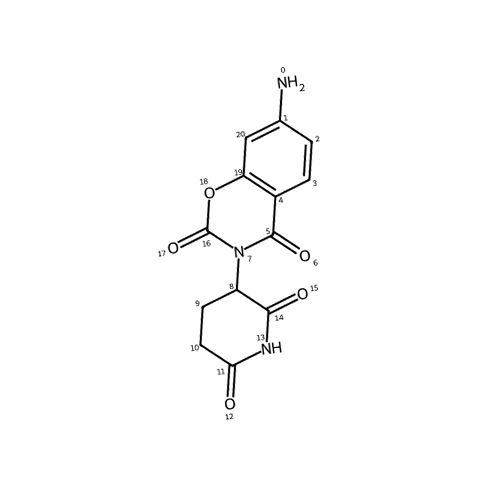 Nc1ccc2c(=O)n(C3CCC(=O)NC3=O)c(=O)oc2c1